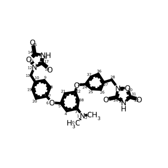 CN(C)c1cc(Oc2ccc(Cn3oc(=O)[nH]c3=O)cc2)cc(Oc2ccc(Cn3oc(=O)[nH]c3=O)cc2)c1